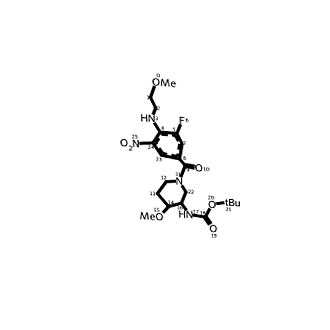 COCCNc1c(F)cc(C(=O)N2CCC(OC)C(NC(=O)OC(C)(C)C)C2)cc1[N+](=O)[O-]